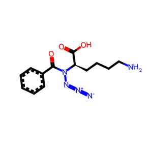 [N-]=[N+]=NN(C(=O)c1ccccc1)[C@H](CCCCN)C(=O)O